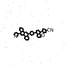 N#Cc1ccc2c(c1)Oc1cccc3c(-c4ccc(-c5cc6c7ccccc7c(-c7cccnc7)cc6c6ccccc56)cc4)ccc-2c13